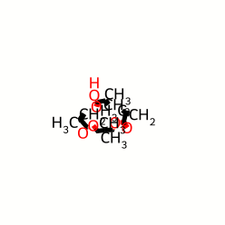 C=C(C)C(=O)O.C=C(C)C(=O)OCC(C)(C)COC(=O)C(=C)C